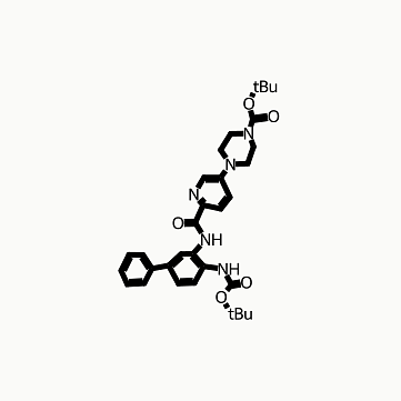 CC(C)(C)OC(=O)Nc1ccc(-c2ccccc2)cc1NC(=O)c1ccc(N2CCN(C(=O)OC(C)(C)C)CC2)cn1